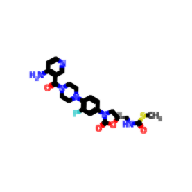 CSC(=O)NC[C@H]1CN(c2ccc(N3CCN(C(=O)c4cnccc4N)CC3)c(F)c2)C(=O)O1